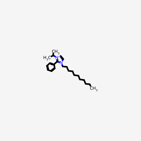 CCCCCCCCCCCn1cc[n+](C(C)C)c1-c1ccccc1